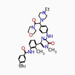 CCN1CCN(C(C(=O)N2CCOCC2)c2ccc(Nc3nc(-c4cccc(NC(=O)c5ccc(C(C)(C)C)cc5)c4C)cn(C)c3=O)cc2)CC1